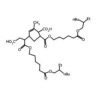 CCCCC(CC)COC(=O)CCCCCOC(=O)C(CC(=O)O)C1C=C(C)C(C(=O)O)C(C(=O)OCCCCCC(=O)OCC(CC)CCCC)C1